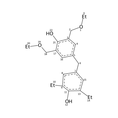 CCOCc1cc(Cc2cc(CC)c(O)c(CC)c2)cc(COCC)c1O